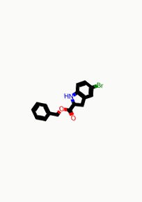 O=C(OCc1ccccc1)C1Cc2cc(Br)ccc2N1